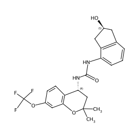 CC1(C)C[C@@H](NC(=O)Nc2cccc3c2C[C@@H](O)C3)c2ccc(OC(F)(F)F)cc2O1